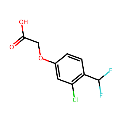 O=C(O)COc1ccc(C(F)F)c(Cl)c1